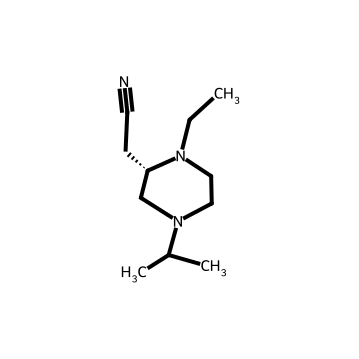 CCN1CCN(C(C)C)C[C@@H]1CC#N